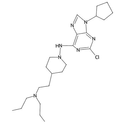 CCCN(CCC)CCC1CCN(Nc2nc(Cl)nc3c2ncn3C2CCCC2)CC1